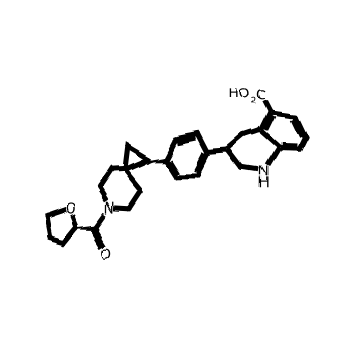 O=C(O)c1cccc2c1CC(c1ccc([C@@H]3CC34CCN(C(=O)[C@H]3CCCO3)CC4)cc1)CN2